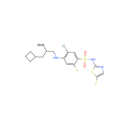 CNC(CNc1cc(F)c(S(=O)(=O)Nc2ncc(F)s2)cc1Cl)CC1CCC1